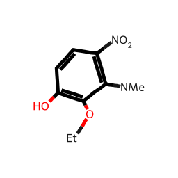 CCOc1c(O)ccc([N+](=O)[O-])c1NC